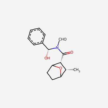 C[C@@H]1C2CCC(O2)[C@@H]1C(=O)N(C=O)[C@H](O)c1ccccc1